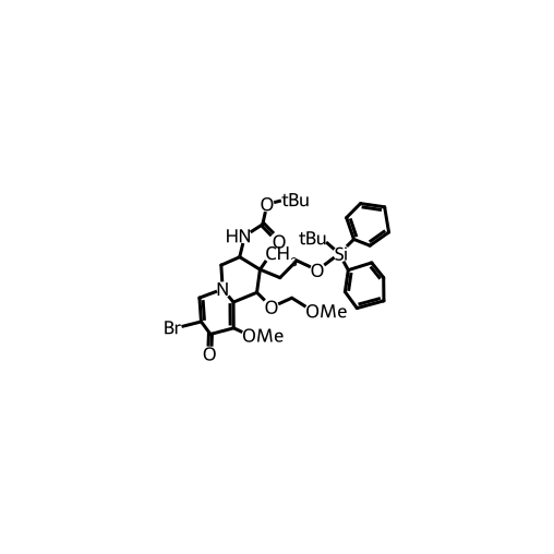 COCOC1c2c(OC)c(=O)c(Br)cn2CC(NC(=O)OC(C)(C)C)C1(C)CCO[Si](c1ccccc1)(c1ccccc1)C(C)(C)C